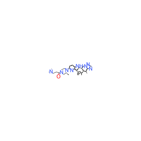 Cc1c(-c2[nH]c3ccc(N4CCN(C(=O)CCN(C)C)C[C@@H]4C)nc3c2C(C)C)cn2ncnc2c1C